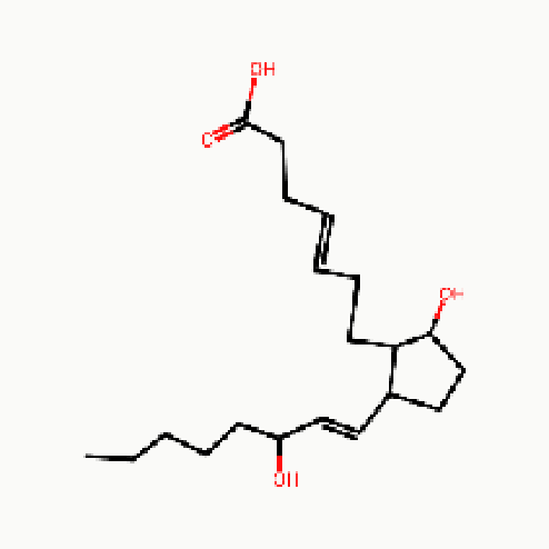 CCCCCC(O)C=CC1CCC(O)C1CCC=CCCC(=O)O